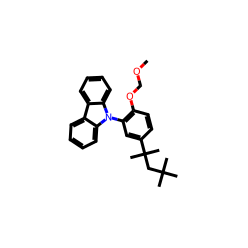 COCOc1ccc(C(C)(C)CC(C)(C)C)cc1-n1c2ccccc2c2ccccc21